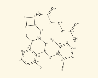 CON(CC1CCC1)CC(Cc1c(F)cccc1F)c1c(C)cccc1C.O=C(O)COCC(=O)O